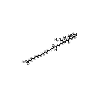 NCC(=O)[C@@H](CCCCNC(=O)CCCCCCCCCCCCCCCCC(=O)O)NCC(=O)[C@@H](N)Cc1cnc[nH]1